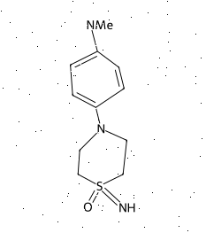 CNc1ccc(N2CCS(=N)(=O)CC2)cc1